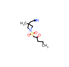 CCCC(=O)CS(=O)(=O)N1CC(C)(CC#N)C1